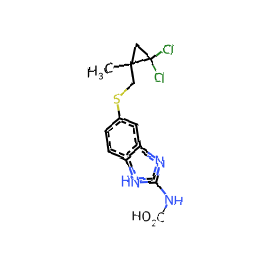 CC1(CSc2ccc3[nH]c(NC(=O)O)nc3c2)CC1(Cl)Cl